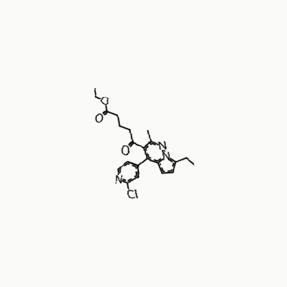 CCOC(=O)CCCC(=O)c1c(C)nn2c(CC)ccc2c1-c1ccnc(Cl)c1